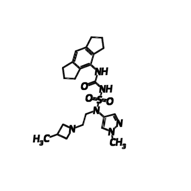 CC1CN(CCN(c2cnn(C)c2)S(=O)(=O)NC(=O)Nc2c3c(cc4c2CCC4)CCC3)C1